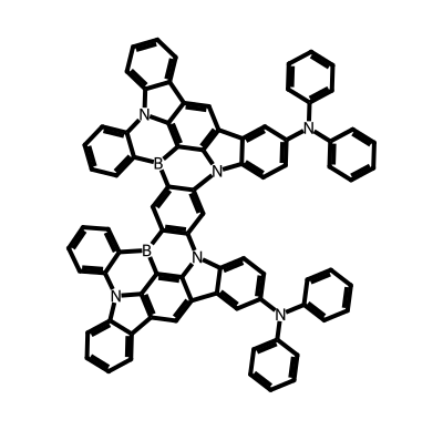 c1ccc(N(c2ccccc2)c2ccc3c(c2)c2cc4c5ccccc5n5c4c4c2n3-c2cc3c(cc2B4c2ccccc2-5)B2c4ccccc4-n4c5ccccc5c5cc6c7cc(N(c8ccccc8)c8ccccc8)ccc7n-3c6c2c54)cc1